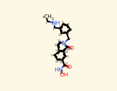 CCNCc1cccc(Cn2ccc3ccc(C(=O)NO)cc3c2=O)c1